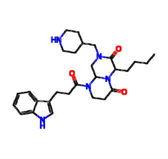 CCCCC1C(=O)N(CC2CCNCC2)CC2N(C(=O)CCc3c[nH]c4ccccc34)CCC(=O)N12